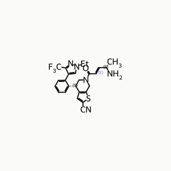 CCn1cc(-c2ccccc2[C@@H]2CN(C(=O)/C=C/[C@H](C)N)Cc3sc(C#N)cc32)c(C(F)(F)F)n1